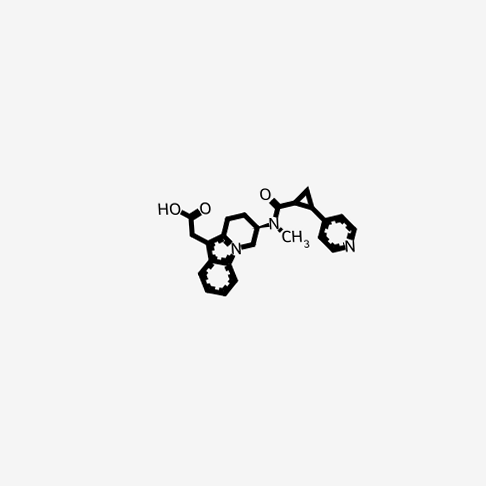 CN(C(=O)C1CC1c1ccncc1)[C@@H]1CCc2c(CC(=O)O)c3ccccc3n2C1